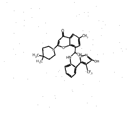 Cc1cc(C(C)Nc2ccccc2-c2onc(O)c2C(F)(F)F)c2oc(N3CCC(C)(C)CC3)cc(=O)c2c1